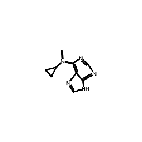 CN(c1ncnc2[nH]cnc12)C1CC1